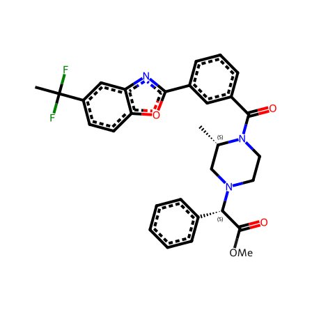 COC(=O)[C@H](c1ccccc1)N1CCN(C(=O)c2cccc(-c3nc4cc(C(C)(F)F)ccc4o3)c2)[C@@H](C)C1